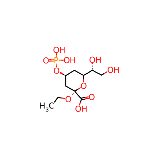 CCO[C@]1(C(=O)O)C[C@@H](OP(=O)(O)O)CC([C@H](O)CO)O1